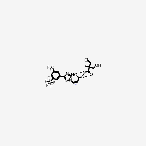 CC(CO)(CCl)C(=O)NNC(O)/C=C\n1cnc(-c2cc(C(F)(F)F)cc(S(F)(F)(F)(F)F)c2)n1